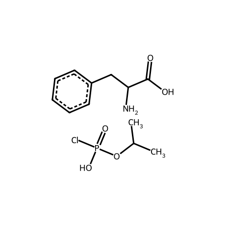 CC(C)OP(=O)(O)Cl.NC(Cc1ccccc1)C(=O)O